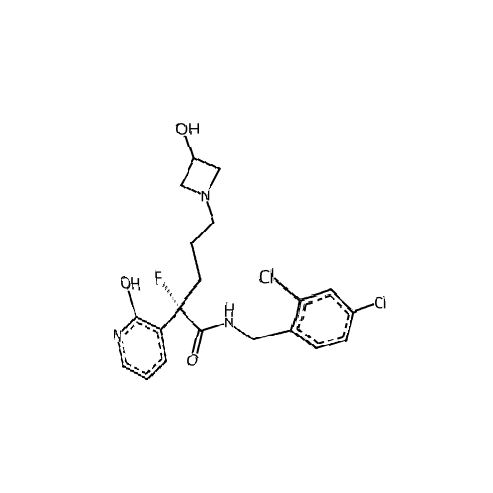 O=C(NCc1ccc(Cl)cc1Cl)[C@](F)(CCCN1CC(O)C1)c1cccnc1O